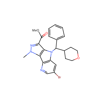 COC(=O)c1nn(C)c2c3ncc(Br)cc3n(C(c3ccccc3)C3CCOCC3)c12